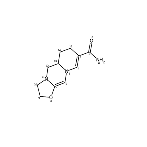 NC(=O)C1=CN2C=C3OCCN3CC2CC1